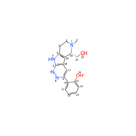 CN1CCc2[nH]c3nnc(-c4ccccc4O)cc3c2[C@H]1CO